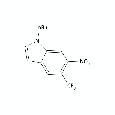 CCCCn1ccc2cc(C(F)(F)F)c([N+](=O)[O-])cc21